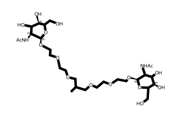 CC(=O)NC1C(O)[C@@H](O)C(CO)O[C@H]1OCCOCCOCC(C)COCCOCCO[C@@H]1OC(CO)[C@H](O)C(O)[C@@H]1NC(C)=O